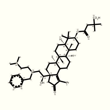 CC(C)C1=C2C3CC[C@@H]4[C@@]5(C)CC[C@H](OC(=O)CC(C)(C)C(=O)O)C(C)(C)[C@@H]5CC[C@@]4(C)[C@]3(C)CC[C@]2([C@@H](O)CN(CCN(C)C)Cc2cccnn2)CC1=O